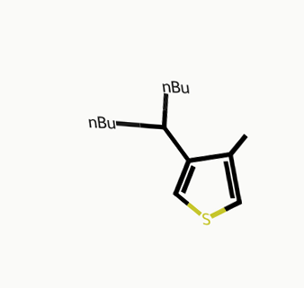 CCCCC(CCCC)c1cscc1C